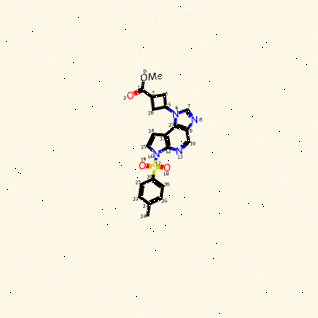 COC(=O)C1CC(n2cnc3cnc4c(ccn4S(=O)(=O)c4ccc(C)cc4)c32)C1